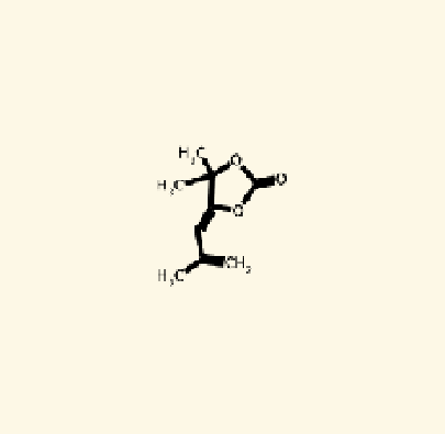 C=C(C)C=C1OC(=O)OC1(C)C